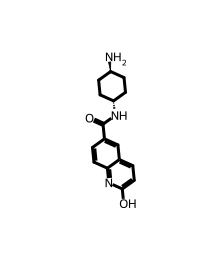 N[C@H]1CC[C@H](NC(=O)c2ccc3nc(O)ccc3c2)CC1